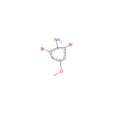 COc1cc(Br)c(N)c(Br)c1